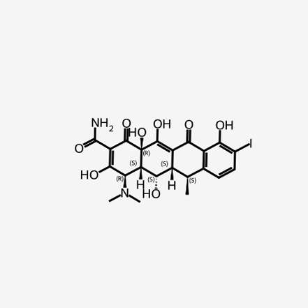 C[C@@H]1c2ccc(I)c(O)c2C(=O)C2=C(O)[C@@]3(O)C(=O)C(C(N)=O)=C(O)[C@H](N(C)C)[C@H]3[C@@H](O)[C@H]21